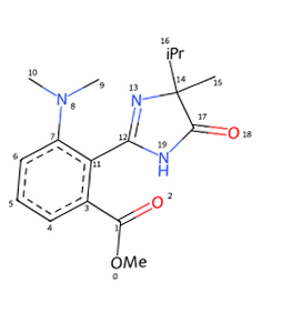 COC(=O)c1cccc(N(C)C)c1C1=NC(C)(C(C)C)C(=O)N1